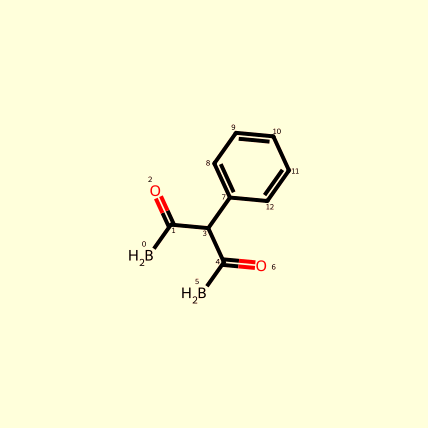 BC(=O)C(C(B)=O)c1ccccc1